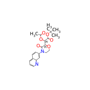 CC(=O)O[C@@H](C(=O)OC(C)(C)C)[C@H]1OCCN(c2ccc3cccnc3c2)C1=O